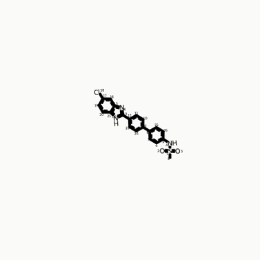 CS(=O)(=O)Nc1ccc(-c2ccc(-c3nc4cc(Cl)ccc4[nH]3)cc2)cc1